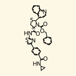 O=C(NC1CC1)c1ccc(-c2csc(NC(=O)[C@@H]3CSC(c4ccnc5ccccc45)N3C(=O)OCc3ccccc3)n2)cc1